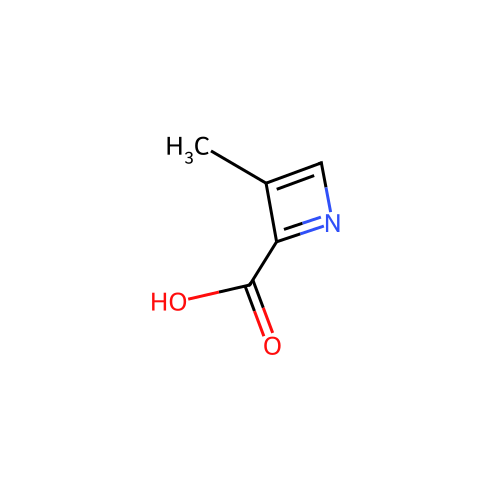 CC1=CN=C1C(=O)O